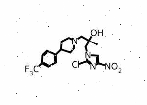 C[C@](O)(CN1CCC(c2ccc(C(F)(F)F)cc2)CC1)Cn1cc([N+](=O)[O-])nc1Cl